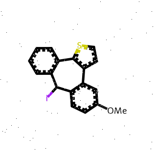 COc1ccc2c(c1)-c1ccsc1-c1ccccc1C2I